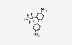 Nc1ccc(-c2ccc(N)cc2C(F)(F)C(F)(F)F)cc1